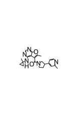 Cc1cc(C2CCN(C(=O)c3c(C)oc4ncnc(NC5(C)CC5)c34)C2)ccn1